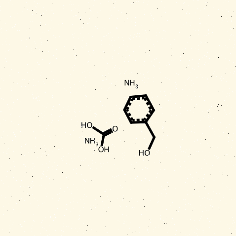 N.N.O=C(O)O.OCc1ccccc1